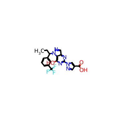 CCC(c1cccc(C(F)(F)F)c1)n1ncc2nc(-n3cc(C(=O)O)cn3)nc(O)c21